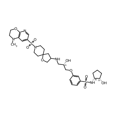 CN1CCOc2ncc(S(=O)(=O)N3CCC4(CC3)CC(NC[C@H](O)COc3cccc(S(=O)(=O)N[C@@H]5CCC[C@@H]5O)c3)CO4)cc21